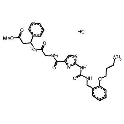 COC(=O)CC(NC(=O)CNC(=O)c1csc(NC(=O)NCc2ccccc2OCCCN)n1)c1ccccc1.Cl